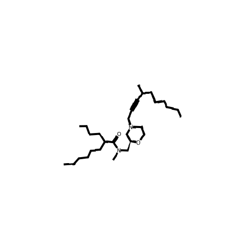 CCCCCCC(C)C#CCN1CCO[C@@H](CN(C)C(=O)C(CCCC)CCCCCC)C1